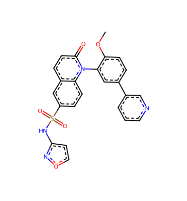 COc1ccc(-c2cccnc2)cc1-n1c(=O)ccc2cc(S(=O)(=O)Nc3ccon3)ccc21